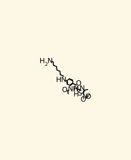 CC(=O)Nc1cc(NCCCCCCCN)ccc1C(=O)Nc1nc(C)c([N+](=O)[O-])s1